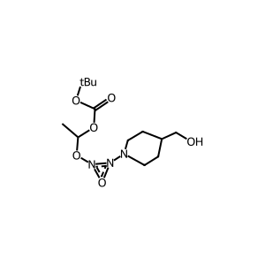 CC(OC(=O)OC(C)(C)C)On1on1N1CCC(CO)CC1